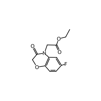 CCOC(=O)CN1C(=O)COc2ccc(F)cc21